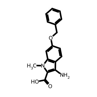 Cn1c(C(=O)O)c(N)c2ccc(OCc3ccccc3)cc21